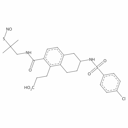 CC(C)(CNC(=O)c1ccc2c(c1CCC(=O)O)CCC(NS(=O)(=O)c1ccc(Cl)cc1)C2)SN=O